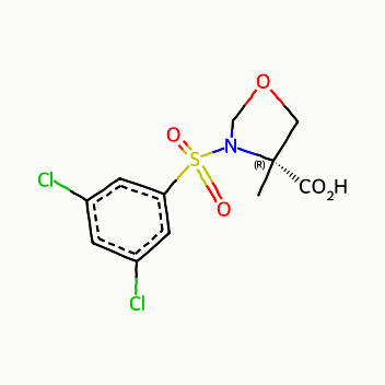 C[C@]1(C(=O)O)COCN1S(=O)(=O)c1cc(Cl)cc(Cl)c1